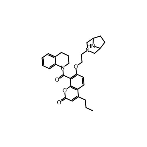 CCCc1cc(=O)oc2c(C(=O)N3CCCc4ccccc43)c(OCCN3CC4CCC(C3)N4)ccc12